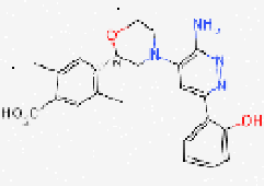 Cc1cc([C@H]2CN(c3cc(-c4ccccc4O)nnc3N)CCO2)c(C)cc1C(=O)O